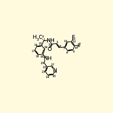 C[C@H](NC(=O)C=Cc1ccc(F)c(F)c1)c1cccc(NCc2cccnc2)c1